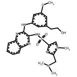 COc1cc(CCO)cc(Nc2nc3ccccc3nc2NS(=O)(=O)c2cn(C)c(CN(C)C)n2)c1